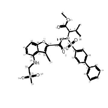 COC(=O)C(C(C)C)N(NC(=O)c1oc2cccc(NCS(C)(=O)=O)c2c1C)S(=O)(=O)c1ccc(-c2ccccc2)cc1